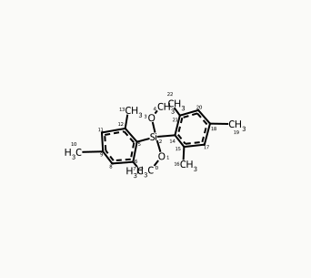 CO[Si](OC)(c1c(C)cc(C)cc1C)c1c(C)cc(C)cc1C